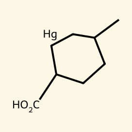 CC1CCC(C(=O)O)CC1.[Hg]